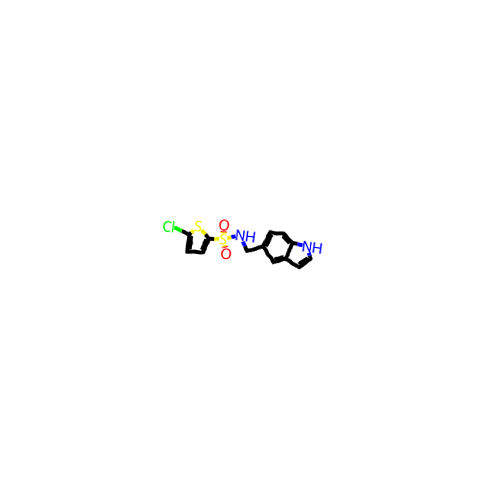 O=S(=O)(NCc1ccc2[nH]ccc2c1)c1ccc(Cl)s1